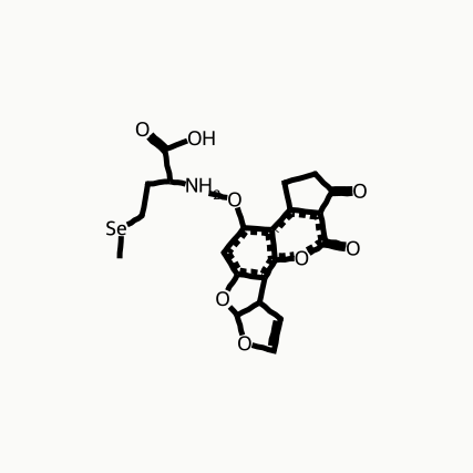 COc1cc2c(c3oc(=O)c4c(c13)CCC4=O)C1C=COC1O2.C[Se]CCC(N)C(=O)O